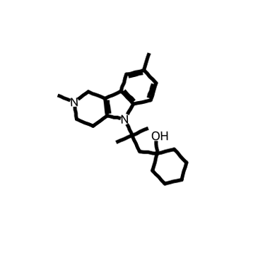 Cc1ccc2c(c1)c1c(n2C(C)(C)CC2(O)CCCCC2)CCN(C)C1